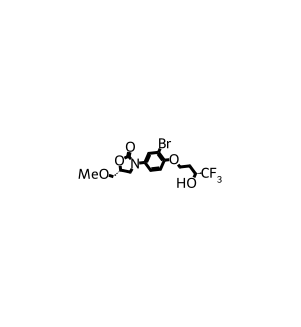 COC[C@H]1CN(c2ccc(OCC[C@@H](O)C(F)(F)F)c(Br)c2)C(=O)O1